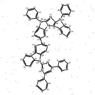 c1ccc(-c2cc(-c3ccccc3)nc(-n3c4ccccc4c4cc(-c5ccc6c(c5)n5c7c8ccccc8n(-c8ccccc8)c7nc5n6-c5ccccc5)ccc43)n2)cc1